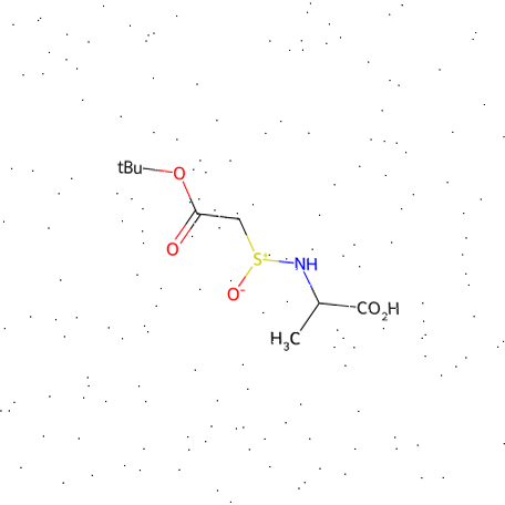 CC(N[S+]([O-])CC(=O)OC(C)(C)C)C(=O)O